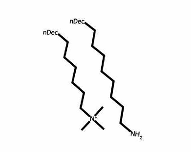 CCCCCCCCCCCCCCCCCCN.CCCCCCCCCCCCCCCC[N+](C)(C)C